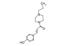 CCCN1CCN(C(=O)/C=C/c2ccc(O)cc2)CC1